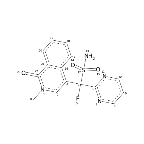 Cn1cc(C(F)(c2ncccn2)S(N)(=O)=O)c2ccccc2c1=O